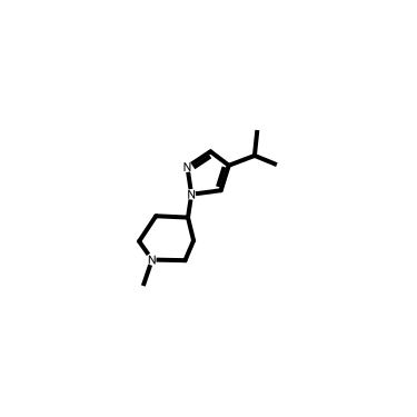 CC(C)c1cnn(C2CCN(C)CC2)c1